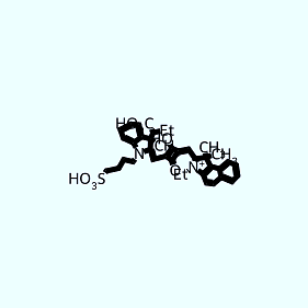 CCC(C(=O)O)C1(C)/C(=C\C2=C(O)C(=C/C3=[N+](CC)c4ccc5ccccc5c4C3(C)C)/C2=O)N(CCCCS(=O)(=O)O)c2ccccc21